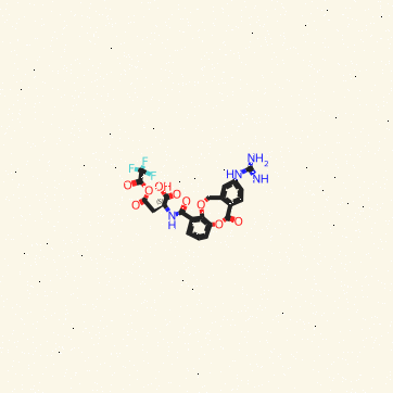 N=C(N)Nc1ccc2c(c1)COc1c(cccc1C(=O)N[C@@H](CC(=O)OC(=O)C(F)(F)F)C(=O)O)OC2=O